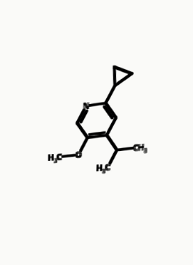 COc1cnc(C2CC2)cc1C(C)C